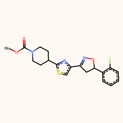 CC(C)(C)OC(=O)N1CCC(c2nc(C3=NOC(c4ccccc4F)C3)cs2)CC1